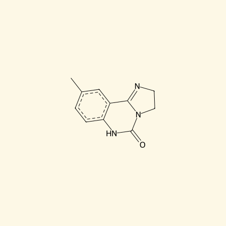 Cc1ccc2c(c1)C1=NCCN1C(=O)N2